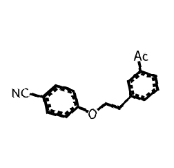 CC(=O)c1cccc(CCOc2ccc(C#N)cc2)c1